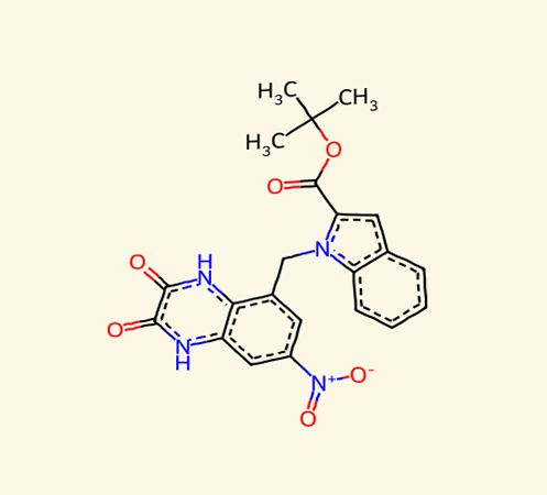 CC(C)(C)OC(=O)c1cc2ccccc2n1Cc1cc([N+](=O)[O-])cc2[nH]c(=O)c(=O)[nH]c12